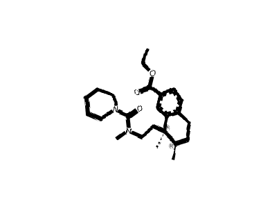 CCOC(=O)c1ccc2c(c1)[C@](C)(CCN(C)C(=O)N1CCCCC1)[C@H](C)CC2